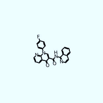 O=C(Nc1nccc2ccccc12)c1cn(-c2ccc(F)cc2)c2ncccc2c1=O